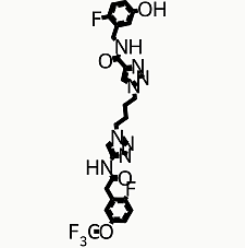 O=C(Cc1cc(OC(F)(F)F)ccc1F)Nc1cn(CCCCn2cc(C(=O)NCc3cc(O)ccc3F)nn2)nn1